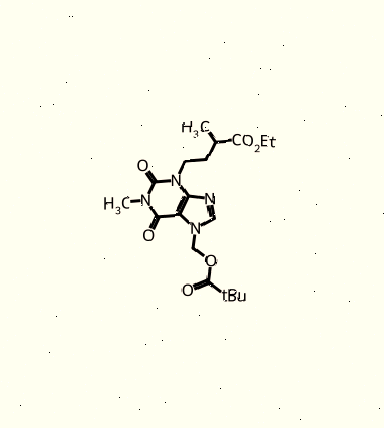 CCOC(=O)C(C)CCn1c(=O)n(C)c(=O)c2c1ncn2COC(=O)C(C)(C)C